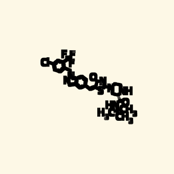 CC(C)(C)NC(=O)[C@@H]1CN(C2=NC(=O)/C(=C\c3ccc4c(cnn4Cc4ccc(Cl)cc4C(F)(F)F)c3)S2)CCN1